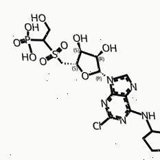 O=P(O)(O)C(CO)S(=O)(=O)C[C@H]1O[C@@H](n2cnc3c(NC4CCCC4)nc(Cl)nc32)[C@H](O)[C@@H]1O